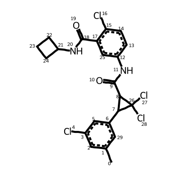 Cc1cc(Cl)cc(C2C(C(=O)Nc3ccc(Cl)c(C(=O)NC4CCC4)c3)C2(Cl)Cl)c1